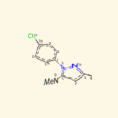 CNc1cc(C)nn1-c1ccc(Cl)cc1